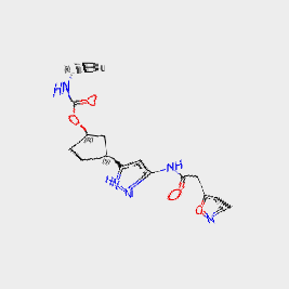 CC[C@@H](C)NC(=O)O[C@@H]1CC[C@H](c2cc(NC(=O)Cc3ccno3)n[nH]2)C1